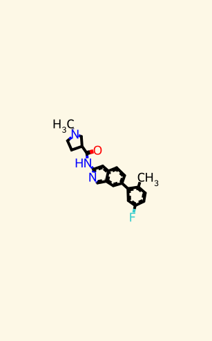 Cc1ccc(F)cc1-c1ccc2cc(NC(=O)C3CCN(C)C3)ncc2c1